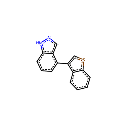 [c]1n[nH]c2cccc(-c3csc4ccccc34)c12